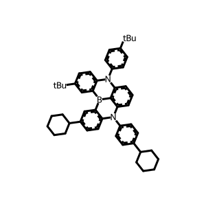 CC(C)(C)c1ccc(N2c3ccc(C(C)(C)C)cc3B3c4cc(C5CCCCC5)ccc4N(c4ccc(C5CCCCC5)cc4)c4cccc2c43)cc1